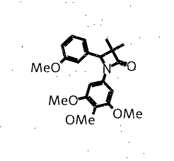 COc1cccc(C2N(c3cc(OC)c(OC)c(OC)c3)C(=O)C2(C)C)c1